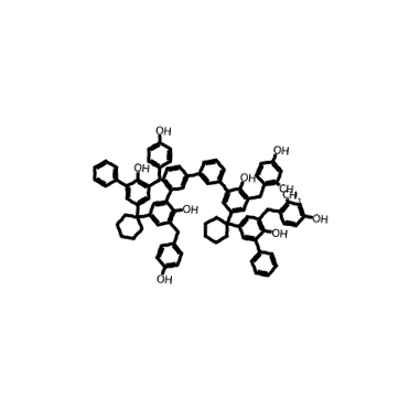 Cc1cc(O)ccc1Cc1cc(C2(c3cc(Cc4ccc(O)cc4C)c(O)c(-c4cccc(-c5cccc(-c6cc(C7(c8cc(Cc9ccc(O)cc9)c(O)c(-c9ccccc9)c8)CCCCC7)cc(Cc7ccc(O)cc7)c6O)c5)c4)c3)CCCCC2)cc(-c2ccccc2)c1O